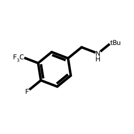 CC(C)(C)NCc1ccc(F)c(C(F)(F)F)c1